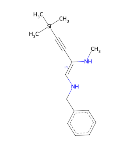 CN/C(C#C[Si](C)(C)C)=C\NCc1ccccc1